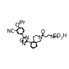 CC(C)Oc1ccc(-c2nc(-c3cccc4c3CCN(C(=O)CCNC(=O)O)C4)no2)cc1C#N